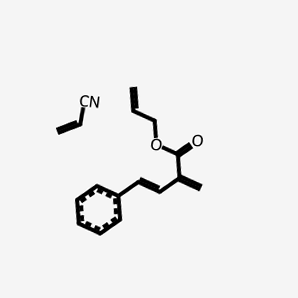 C=CC#N.C=CCOC(=O)C(=C)C=Cc1ccccc1